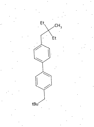 CCC(C)(CC)Cc1ccc(-c2ccc(CC(C)(C)C)cc2)cc1